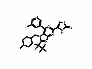 CC1CCC(Cn2c(C(C)(F)C(C)(C)C)nc3nc(-c4noc(=O)[nH]4)nc(-c4cncc(Cl)c4)c32)CC1